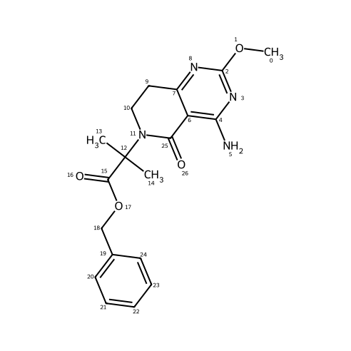 COc1nc(N)c2c(n1)CCN(C(C)(C)C(=O)OCc1ccccc1)C2=O